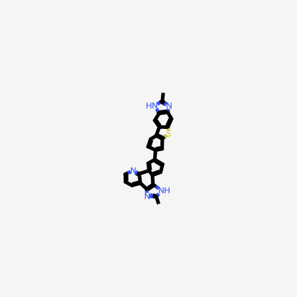 Cc1nc2cc3sc4cc(-c5ccc6c(c5)c5ncccc5c5nc(C)[nH]c65)ccc4c3cc2[nH]1